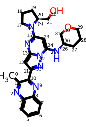 Cc1nc2ccccc2nc1-c1cc2nc(N3CCC[C@H]3CO)cc(N[C@@H]3CCCOC3)n2n1